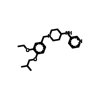 CCOc1cc(CN2CCC(Nc3cccnc3)CC2)ccc1OCC(C)C